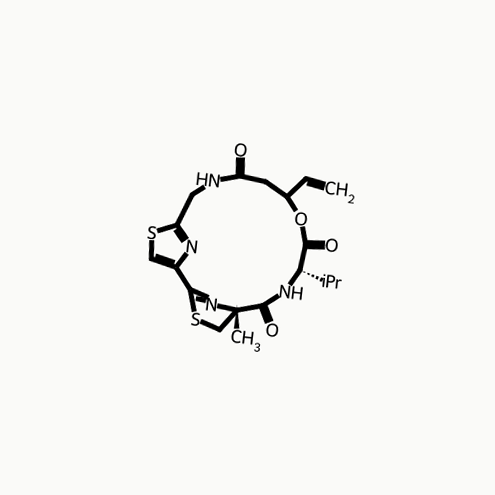 C=CC1CC(=O)NCc2nc(cs2)C2=N[C@@](C)(CS2)C(=O)N[C@@H](C(C)C)C(=O)O1